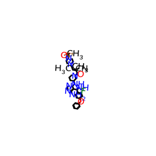 C[S+]([O-])N1CCN(C(C)(C)/C=C(\C#N)C(=O)N2CCCC(Nc3ncnc(N)c3C(=N)c3ccc(Oc4ccccc4)cc3F)C2)CC1